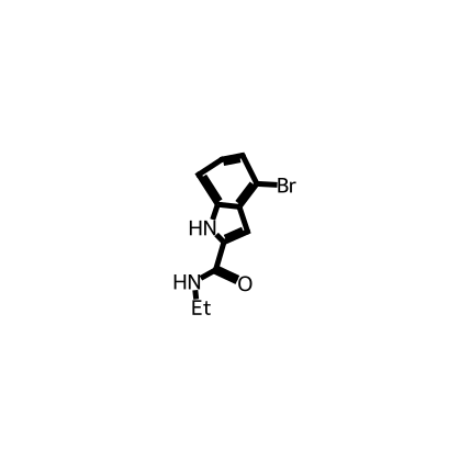 CCNC(=O)c1cc2c(Br)cccc2[nH]1